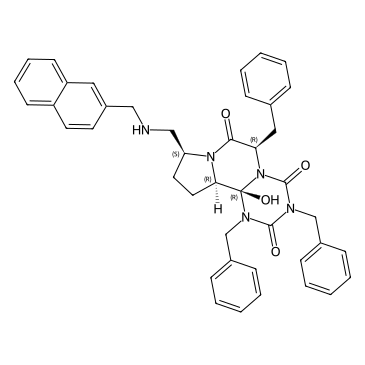 O=C1[C@@H](Cc2ccccc2)N2C(=O)N(Cc3ccccc3)C(=O)N(Cc3ccccc3)[C@]2(O)[C@H]2CC[C@@H](CNCc3ccc4ccccc4c3)N12